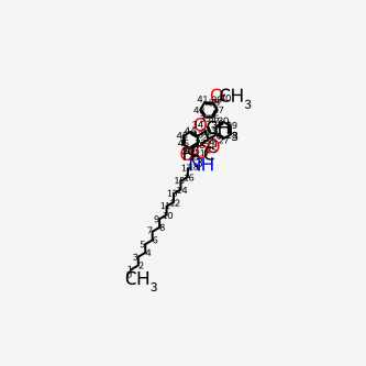 CCCCCCCCCCCCCCCCCCNC(=O)OCC(OC)(c1ccccc1)C(C)(Oc1ccc(OC)cc1)c1ccccc1